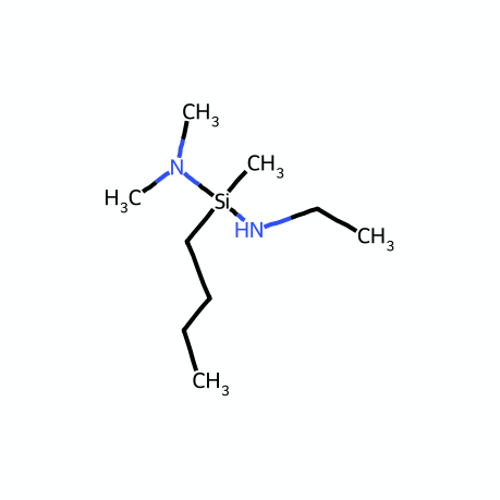 CCCC[Si](C)(NCC)N(C)C